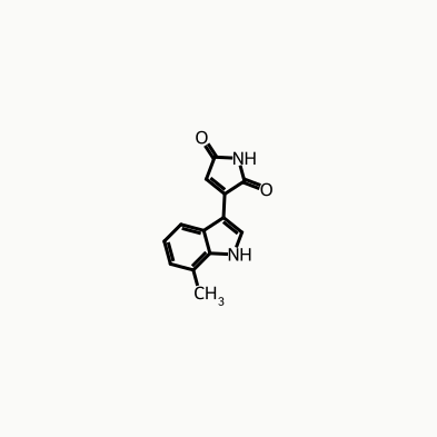 Cc1cccc2c(C3=CC(=O)NC3=O)c[nH]c12